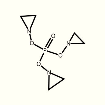 O=P(ON1CC1)(ON1CC1)ON1CC1